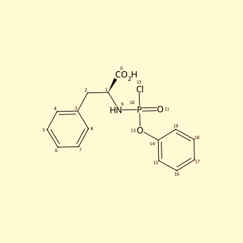 O=C(O)[C@H](Cc1ccccc1)NP(=O)(Cl)Oc1ccccc1